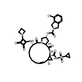 O=C1N[C@]2(C(=O)NS(=O)(=O)C3CC3)C[C@H]2/C=C\CCCCC[C@H](Nc2c(N3CCC3)c(=O)c2=O)C(=O)N2C[C@H](OC(=O)N3Cc4cccc(Cl)c4C3)C[C@@H]12